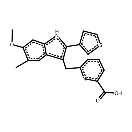 COc1cc2[nH]c(-c3ccsc3)c(Cc3cccc(C(=O)O)n3)c2cc1C